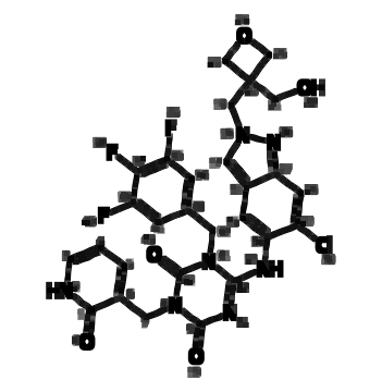 O=c1[nH]cccc1Cn1c(=O)nc(Nc2cc3cn(CC4(CO)COC4)nc3cc2Cl)n(Cc2cc(F)c(F)c(F)c2)c1=O